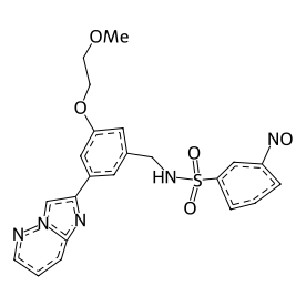 COCCOc1cc(CNS(=O)(=O)c2cccc(N=O)c2)cc(-c2cn3ncccc3n2)c1